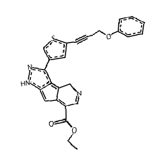 CCOC(=O)C1=C2C=c3[nH]nc(-c4csc(C#CCOc5ccccc5)c4)c3=C2CN=C1